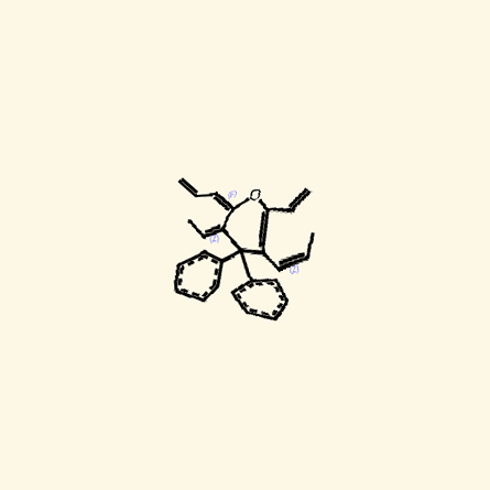 C=C/C=C1/OC(C=C)=C(/C=C\C)C(c2ccccc2)(c2ccccc2)/C1=C/C